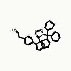 C=CCc1ccc(-c2ccccc2-c2nnnn2C(c2ccccc2)(c2ccccc2)c2ccccc2)cc1